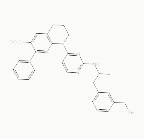 CCOC(=O)c1cc2c(nc1-c1ccccc1)N(c1ccnc(NC(C)Cc3cccc(CO)c3)n1)CCC2